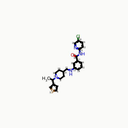 CC(c1ccsc1)N1CCC(CNc2cccc(C(=O)Nc3ccc(Cl)cn3)c2)CC1